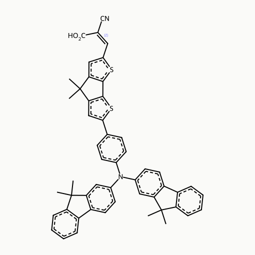 CC1(C)c2ccccc2-c2ccc(N(c3ccc(-c4cc5c(s4)-c4sc(/C=C(/C#N)C(=O)O)cc4C5(C)C)cc3)c3ccc4c(c3)C(C)(C)c3ccccc3-4)cc21